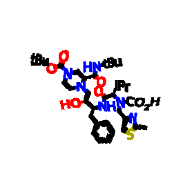 Cc1nc(CN(C(=O)O)[C@H](C(=O)N[C@@H](Cc2ccccc2)[C@H](O)CN2CCN(C(=O)OC(C)(C)C)C[C@H]2C(=O)NC(C)(C)C)C(C)C)cs1